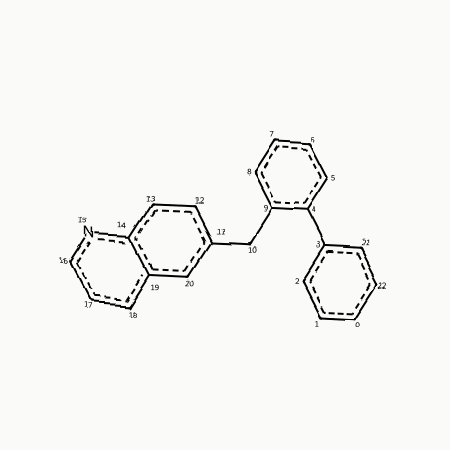 c1ccc(-c2ccccc2Cc2ccc3ncccc3c2)cc1